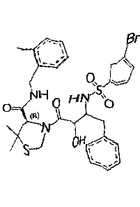 Cc1ccccc1CNC(=O)[C@H]1N(C(=O)C(O)C(Cc2ccccc2)NS(=O)(=O)C2=CC=C(Br)C2)CSC1(C)C